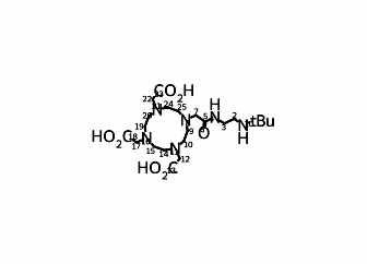 CC(C)(C)NCCNC(=O)CN1CCN(CC(=O)O)CCN(CC(=O)O)CCN(CC(=O)O)CC1